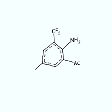 CC(=O)c1cc(C)cc(C(F)(F)F)c1N